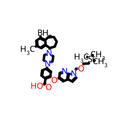 Bc1cc(C)cc2c1CCCCC2N1CCN(c2ccc(C(=O)O)c(Oc3cnc4c(ccn4COCC[Si](C)(C)C)c3)c2)CC1